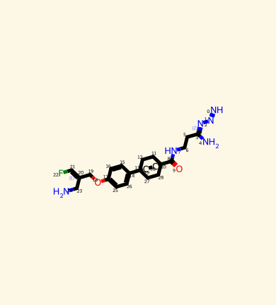 N=N/N=C(\N)CCNC(=O)C12CCC(c3ccc(OC/C(=C/F)CN)cc3)(CC1)CC2